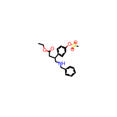 CCOC(=O)CC(CNCc1ccccc1)c1ccc(OS(C)(=O)=O)cc1